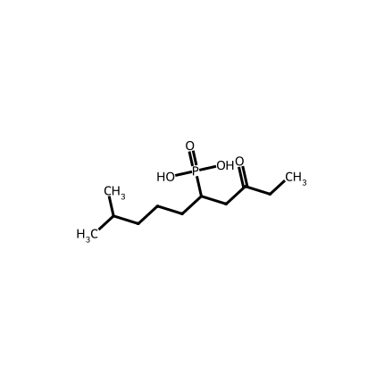 CCC(=O)CC(CCCC(C)C)P(=O)(O)O